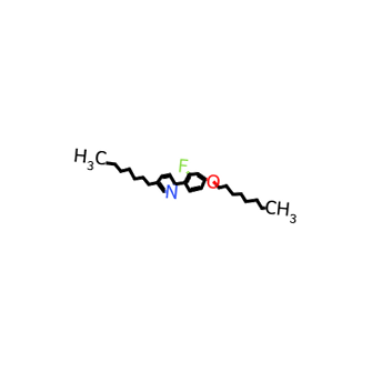 CCCCCCCCOc1ccc(-c2ccc(CCCCCCCC)cn2)c(F)c1